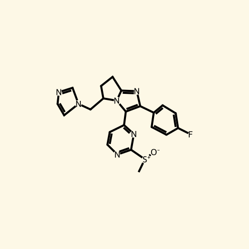 C[S+]([O-])c1nccc(-c2c(-c3ccc(F)cc3)nc3n2C(Cn2ccnc2)CC3)n1